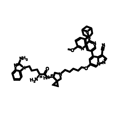 COc1ccc(CN2C3CC2CN(c2ccc(-c4cc(OCCCCCN5C[C@H](NC(=O)[C@@H](N)CCCn6c(N)nc7ccccc76)C6(CC6)C5)cn5ncc(C#N)c45)cn2)C3)cn1